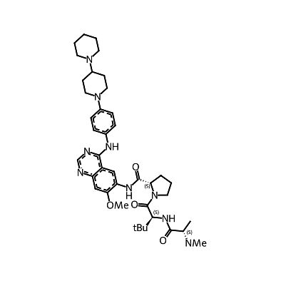 CN[C@@H](C)C(=O)N[C@H](C(=O)N1CCC[C@H]1C(=O)Nc1cc2c(Nc3ccc(N4CCC(N5CCCCC5)CC4)cc3)ncnc2cc1OC)C(C)(C)C